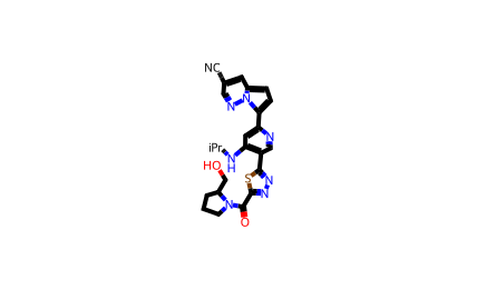 CC(C)Nc1cc(-c2ccc3cc(C#N)cnn23)ncc1-c1nnc(C(=O)N2CCCC2CO)s1